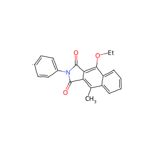 CCOc1c2c(c(C)c3ccccc13)C(=O)N(c1cc[c]cc1)C2=O